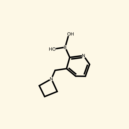 OB(O)c1ncccc1CN1CCC1